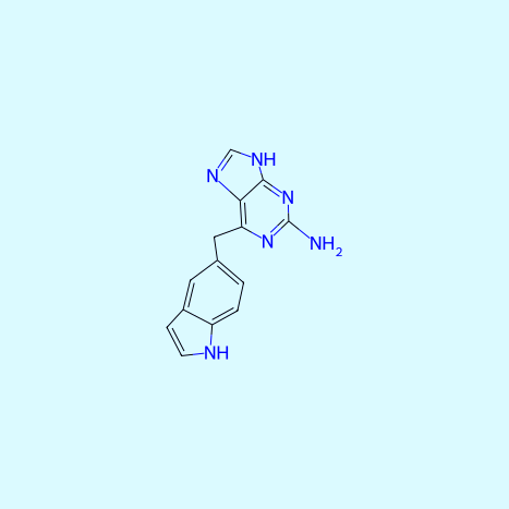 Nc1nc(Cc2ccc3[nH]ccc3c2)c2nc[nH]c2n1